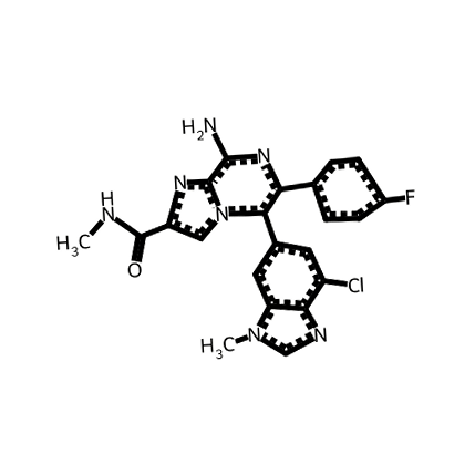 CNC(=O)c1cn2c(-c3cc(Cl)c4ncn(C)c4c3)c(-c3ccc(F)cc3)nc(N)c2n1